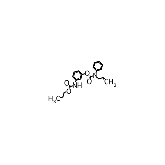 C=CCN(C(=O)Oc1cccc(NC(=O)OCCC)c1)c1ccccc1